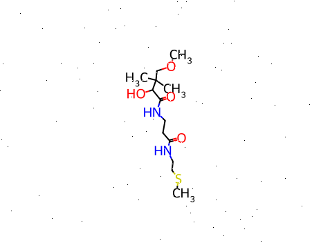 COCC(C)(C)C(O)C(=O)NCCC(=O)NCCSC